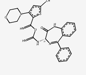 N#Cc1cc(N2CCOCC2)c(C(=N)OC(=N)N[C@H]2N=C(c3ccccc3)c3ccccc3NC2=O)s1